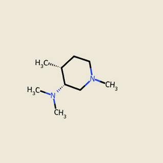 C[C@@H]1CCN(C)C[C@@H]1N(C)C